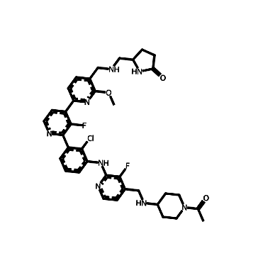 COc1nc(-c2ccnc(-c3cccc(Nc4nccc(CNC5CCN(C(C)=O)CC5)c4F)c3Cl)c2F)ccc1CNCC1CCC(=O)N1